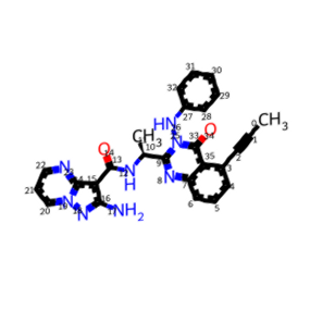 CC#Cc1cccc2nc([C@H](C)NC(=O)c3c(N)nn4cccnc34)n(Nc3ccccc3)c(=O)c12